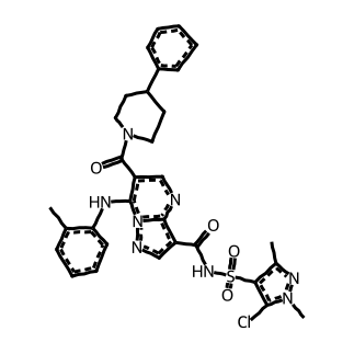 Cc1ccccc1Nc1c(C(=O)N2CCC(c3ccccc3)CC2)cnc2c(C(=O)NS(=O)(=O)c3c(C)nn(C)c3Cl)cnn12